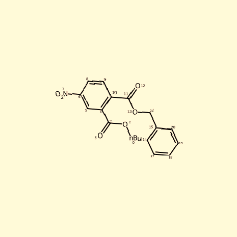 CCCCOC(=O)c1cc([N+](=O)[O-])ccc1C(=O)OCc1ccccc1